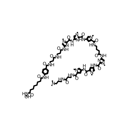 CN(C)CCCNC(=O)CCNC(=O)c1cc(NC(=O)c2cc(NC(=O)c3nc(NC(=O)CCCNC(=O)c4cc(NC(=O)c5nc(NC(=O)c6nc(NC(=O)CCNC(=O)CCNC(=O)c7ccc(NC(=O)CCCCCCC(=O)NO)cc7)cn6C)cn5C)cn4C)cn3C)cn2C)cn1C